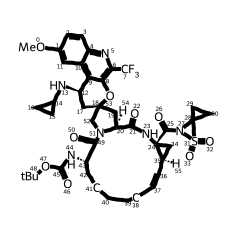 COc1ccc2nc(C(F)(F)F)c3c(c2c1)[C@H](NC1CC1)C[C@]1(C[C@H]2C(=O)N[C@]4(C(=O)N5C6(CC6)S5(=O)=O)C[C@H]4/C=C\CCCCC[C@H](NC(=O)OC(C)(C)C)C(=O)N2C1)O3